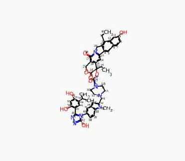 CCc1c2c(cc3ccc(O)cc13)-c1cc3c(c(=O)n1C2)COC(=O)C3(CC)OC(=O)N1CCN(Cc2cc3cc(-n4c(O)nnc4-c4cc(C(C)C)c(O)cc4O)ccc3n2C)CC1